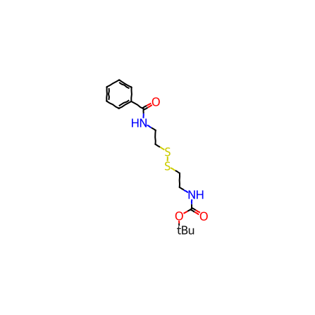 CC(C)(C)OC(=O)NCCSSCCNC(=O)c1ccccc1